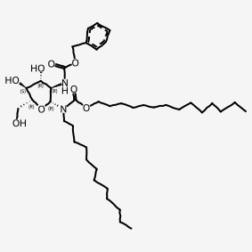 CCCCCCCCCCCCCCOC(=O)N(CCCCCCCCCCCC)[C@@H]1O[C@H](CO)[C@@H](O)[C@H](O)[C@H]1NC(=O)OCc1ccccc1